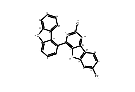 Clc1nc(-c2cccc3oc4ccccc4c23)c2sc3cc(Br)ccc3c2n1